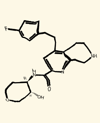 O=C(N[C@@H]1CCOC[C@H]1O)c1cc(Cc2ccc(F)cc2)c2c(n1)CNCC2